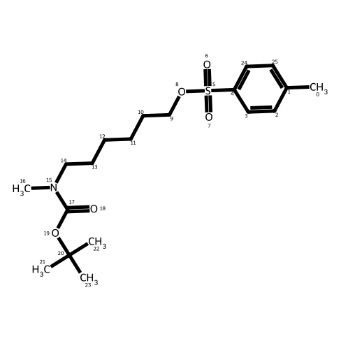 Cc1ccc(S(=O)(=O)OCCCCCCN(C)C(=O)OC(C)(C)C)cc1